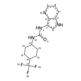 O=C(Nc1c[nH]c2cccnc12)NC1CCC(C(F)(F)F)CC1